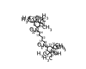 CCC1(CC)CC(N(C=O)CCCCCN(C=O)C2CC(CC)(CC)N(O)C(CC)(CC)C2)CC(CC)(CC)N1O